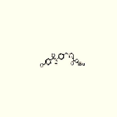 CC(C)(C)OC(=O)N1CCC(Cc2ccc(NC(=O)c3ccc(Cl)cc3)cc2)C1